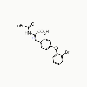 CCCC(=O)N/C(=C/c1ccc(Oc2ccccc2Br)cc1)C(=O)O